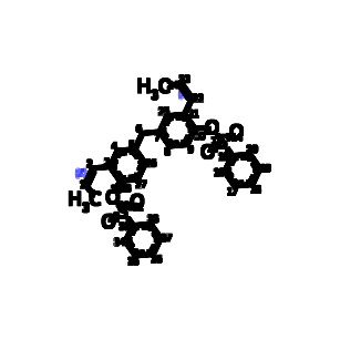 C/C=C\c1cc(Cc2ccc(OS(=O)(=O)c3ccccc3)c(/C=C\C)c2)ccc1OS(=O)(=O)c1ccccc1